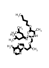 CCCCCOC(=O)[C@H](C)NP(CO[C@H](C)Cn1cnc2c(N)ncnc21)ON=C(CC(C)C)CC(C)C